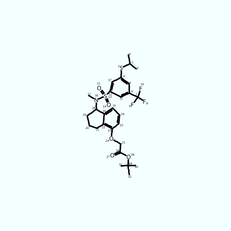 CC(C)Sc1cc(C(F)(F)F)cc(S(=O)(=O)N(C)C2CCCc3c(OCC(=O)OC(C)(C)C)cccc32)c1